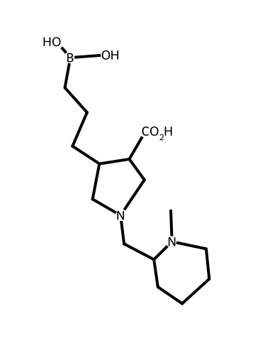 CN1CCCCC1CN1CC(CCCB(O)O)C(C(=O)O)C1